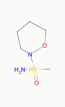 C[SH](N)(=O)N1CCCCO1